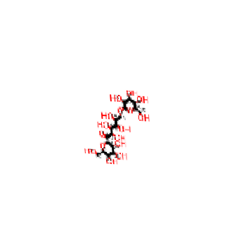 O=C(C(O)C(O)C(O)C(O)COC1O[C@H](CO)[C@@H](O)[C@H](O)[C@H]1O)[C@H]1O[C@H](CO)[C@@H](O)[C@H](O)[C@H]1O